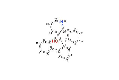 OC1(c2ccccc2-c2ccccc2)c2ccccc2-c2ncccc21